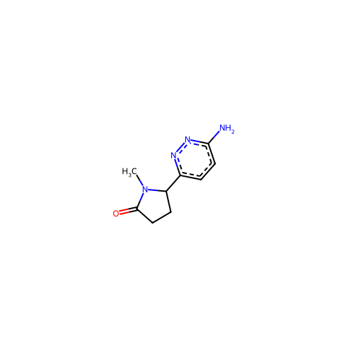 CN1C(=O)CCC1c1ccc(N)nn1